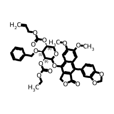 C=CCOC(=O)O[C@@H]1COC(Oc2c3c(c(-c4ccc5c(c4)OCO5)c4cc(OC)c(OC)cc24)C(=O)OC3)[C@H](OC(=O)OCC)[C@H]1OCc1ccccc1